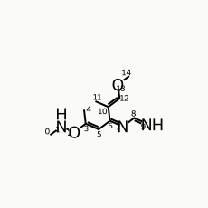 CNO/C(C)=C/C(=N/C=N)C(/C)=C/OC